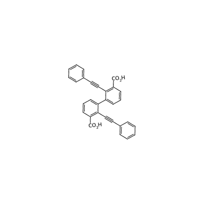 O=C(O)c1cccc(-c2cccc(C(=O)O)c2C#Cc2ccccc2)c1C#Cc1ccccc1